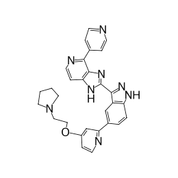 c1cc(-c2nccc3[nH]c(-c4n[nH]c5ccc(-c6cc(OCCN7CCCC7)ccn6)cc45)nc23)ccn1